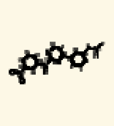 CNCc1cccc(-c2ccnc(Nc3cccc([N+](=O)[O-])c3)n2)c1